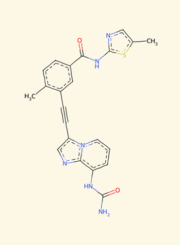 Cc1cnc(NC(=O)c2ccc(C)c(C#Cc3cnc4c(NC(N)=O)cccn34)c2)s1